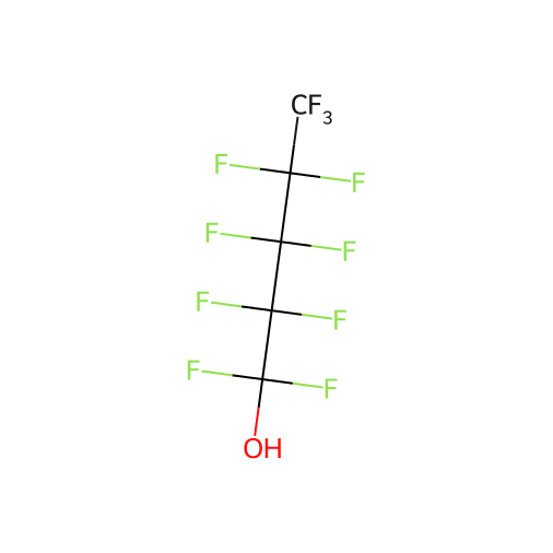 OC(F)(F)C(F)(F)C(F)(F)C(F)(F)C(F)(F)F